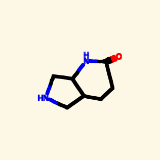 O=C1CCC2CNC[C]2N1